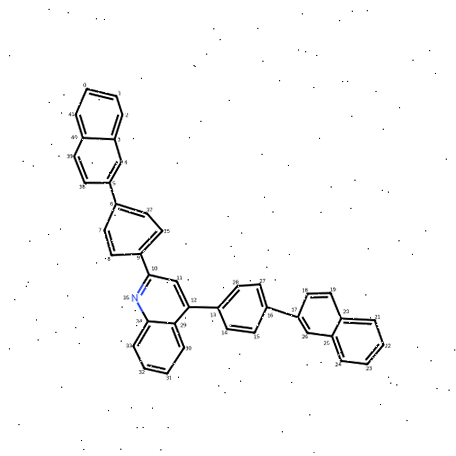 c1ccc2cc(-c3ccc(-c4cc(-c5ccc(-c6ccc7ccccc7c6)cc5)c5ccccc5n4)cc3)ccc2c1